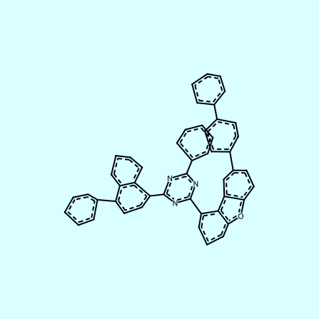 c1ccc(-c2ccc(-c3ccc4oc5cccc(-c6nc(-c7ccccc7)nc(-c7ccc(-c8ccccc8)c8ccccc78)n6)c5c4c3)cc2)cc1